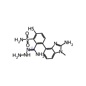 Cn1c(N)nc2c(-c3ccc(S)c(S(N)(=O)=O)c3/C(N)=N/NN)cccc21